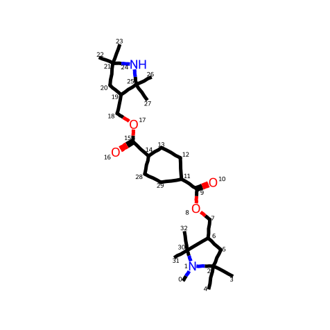 CN1C(C)(C)CC(COC(=O)C2CCC(C(=O)OCC3CC(C)(C)NC3(C)C)CC2)C1(C)C